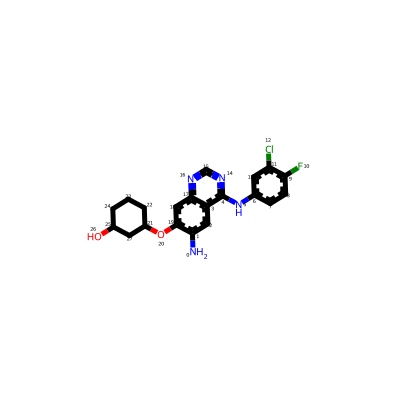 Nc1cc2c(Nc3ccc(F)c(Cl)c3)ncnc2cc1OC1CCCC(O)C1